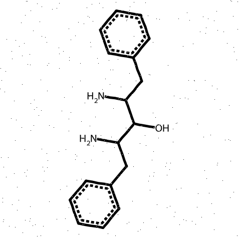 NC(Cc1ccccc1)C(O)C(N)Cc1ccccc1